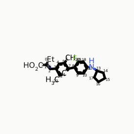 CC/C(=C\c1cc(C)c(-c2ccc(NC3CCCC3)cc2F)cc1C)C(=O)O